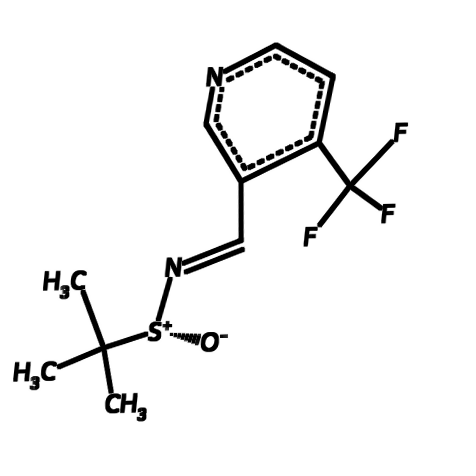 CC(C)(C)[S@@+]([O-])/N=C/c1cnccc1C(F)(F)F